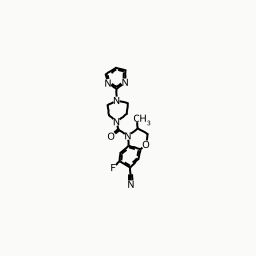 CC1COc2cc(C#N)c(F)cc2N1C(=O)N1CCN(c2ncccn2)CC1